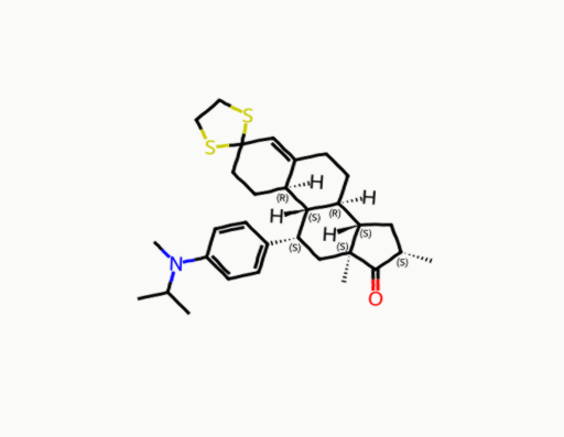 CC(C)N(C)c1ccc([C@H]2C[C@]3(C)C(=O)[C@@H](C)C[C@H]3[C@@H]3CCC4=CC5(CC[C@@H]4[C@H]32)SCCS5)cc1